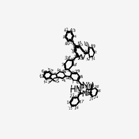 CC1(C)C2=CC(C3CC(C4NC(C5C=CC=CC5)NC(C5(C)C=CC=CC5)N4)=CC=C3C3C=CCC(c4cc(-c5ccccc5)cc(C5=CC=CCC5)n4)C3)CCC2c2ccccc21